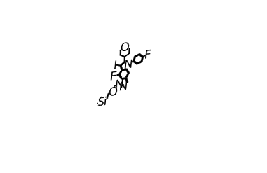 C[Si](C)(C)CCOCn1ncc2cc3c(c(I)c(C4CCOCC4)n3-c3ccc(F)cc3)c(F)c21